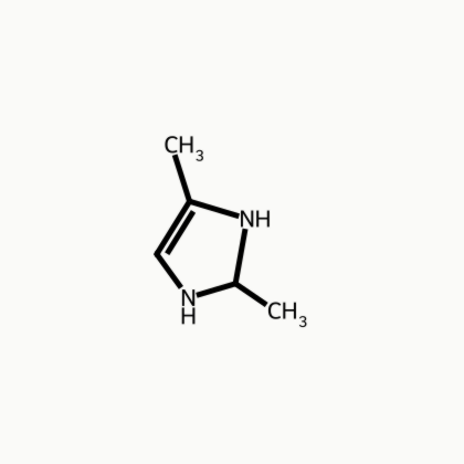 CC1=CNC(C)N1